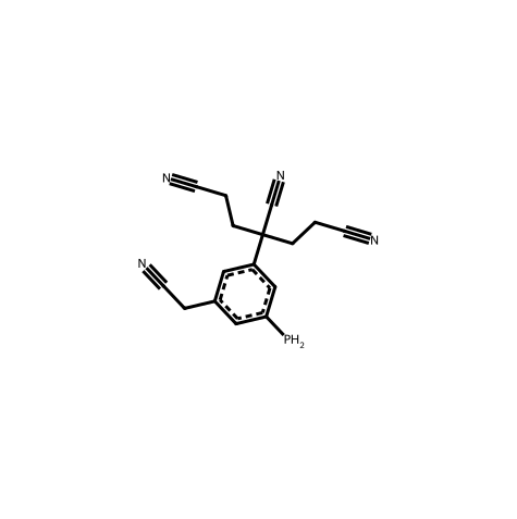 N#CCCC(C#N)(CCC#N)c1cc(P)cc(CC#N)c1